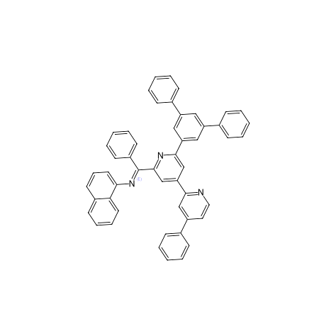 c1ccc(/C(=N\c2cccc3ccccc23)c2cc(-c3cc(-c4ccccc4)ccn3)cc(-c3cc(-c4ccccc4)cc(-c4ccccc4)c3)n2)cc1